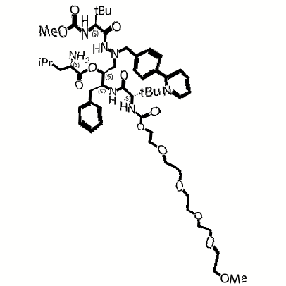 COCCOCCOCCOCCOCCOC(=O)N[C@H](C(=O)N[C@@H](Cc1ccccc1)[C@H](CN(Cc1ccc(-c2ccccn2)cc1)NC(=O)[C@@H](NC(=O)OC)C(C)(C)C)OC(=O)[C@@H](N)CC(C)C)C(C)(C)C